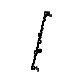 CCCCCCCCCCOCCOCCCC(=O)OCCCCCCC